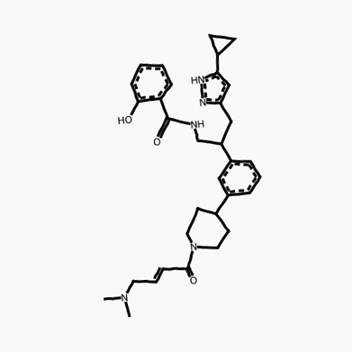 CN(C)C/C=C/C(=O)N1CCC(c2cccc(C(CNC(=O)c3ccccc3O)Cc3cc(C4CC4)[nH]n3)c2)CC1